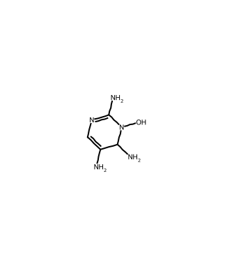 NC1=CN=C(N)N(O)C1N